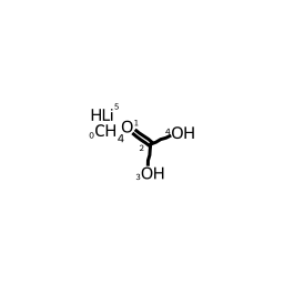 C.O=C(O)O.[LiH]